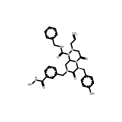 C=CCN1CC(=O)N2C(CN(Cc3cccc(C(=O)NCCC)c3)C(=O)[C@@H]2Cc2ccc(O)cc2)N1C(=O)NCc1ccccc1